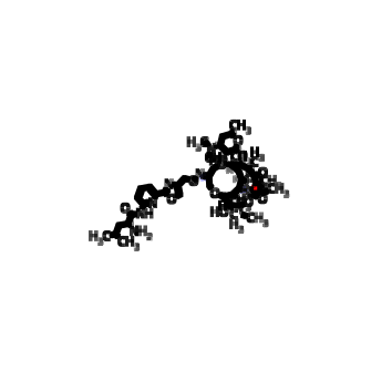 CCC(=O)/N=C1\[C@H](C)C[C@@]2(C)OC/C(=N/OCc3coc(-c4cccc(NC(=O)[C@@H](N)CC(C)C)n4)n3)CO[C@H]([C@H]1C)[C@](C)(O)[C@@H](CC)OC(=O)[C@@](C)(F)C(=O)[C@H](C)[C@H]2O[C@@H]1O[C@H](C)C[C@H](N(C)C)[C@H]1O